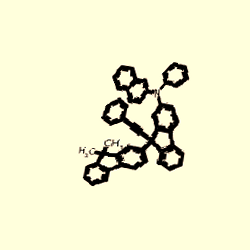 CC1(C)c2ccccc2-c2ccc(C3(C#Cc4ccccc4)c4ccccc4-c4ccc(N(c5ccccc5)c5ccc6ccccc6c5)cc43)cc21